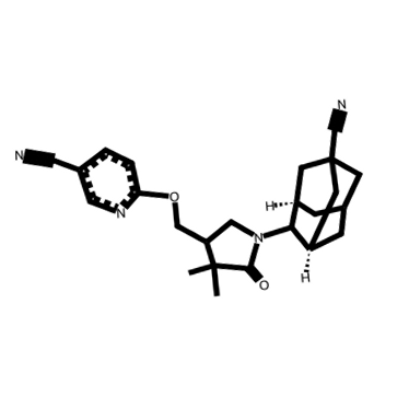 CC1(C)C(=O)N(C2[C@@H]3CC4C[C@@H]2CC(C#N)(C4)C3)CC1COc1ccc(C#N)cn1